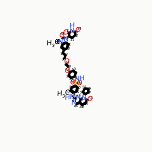 Cc1cc(S(=O)(=O)N[C@H]2CC[C@H](OCCOCCCc3ccc4c(c3)n(C)c(=O)n4C3CCC(=O)NC3=O)CC2)ccc1Nc1ncc2ccc(=O)n(C3CCCC3)c2n1